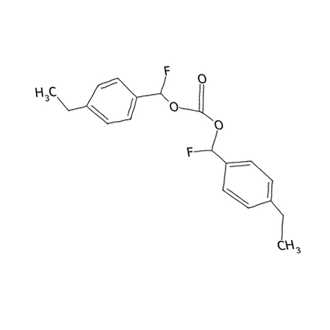 CCc1ccc(C(F)OC(=O)OC(F)c2ccc(CC)cc2)cc1